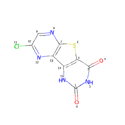 O=c1[nH]c(=O)c2sc3ncc(Cl)nc3c2[nH]1